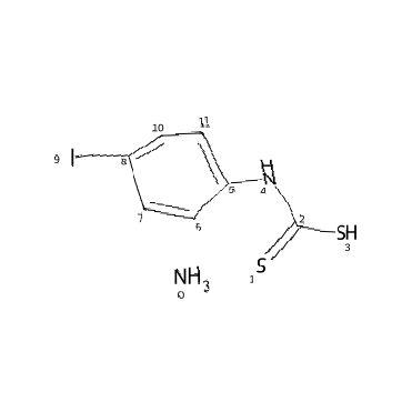 N.S=C(S)Nc1ccc(I)cc1